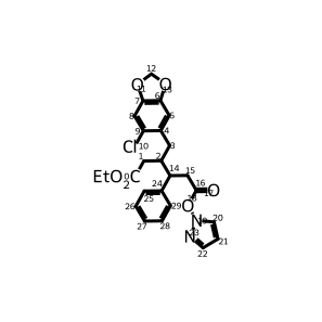 CCOC(=O)CC(Cc1cc2c(cc1Cl)OCO2)C(CC(=O)On1cccn1)c1ccccc1